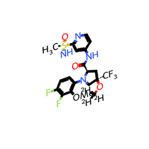 [2H]C([2H])([2H])O[C@]1(C(F)(F)F)C[C@H](C(=O)Nc2ccnc([S@](C)(=N)=O)c2)N(c2ccc(F)c(F)c2OC)C1